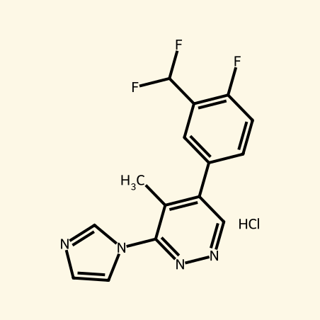 Cc1c(-c2ccc(F)c(C(F)F)c2)cnnc1-n1ccnc1.Cl